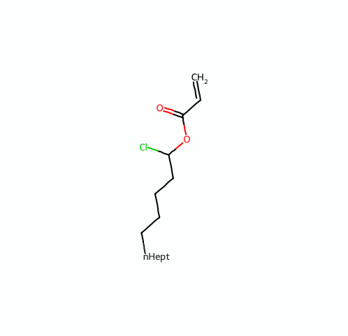 C=CC(=O)OC(Cl)CCCCCCCCCCC